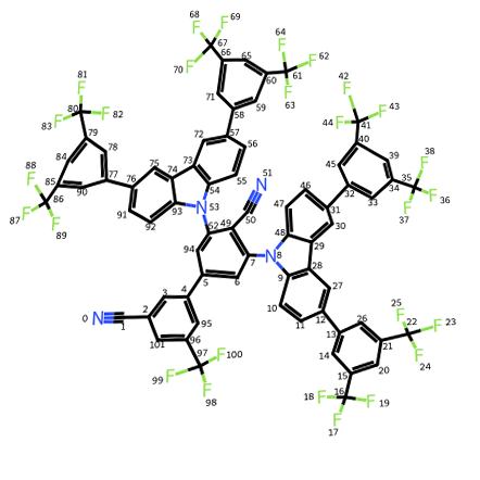 N#Cc1cc(-c2cc(-n3c4ccc(-c5cc(C(F)(F)F)cc(C(F)(F)F)c5)cc4c4cc(-c5cc(C(F)(F)F)cc(C(F)(F)F)c5)ccc43)c(C#N)c(-n3c4ccc(-c5cc(C(F)(F)F)cc(C(F)(F)F)c5)cc4c4cc(-c5cc(C(F)(F)F)cc(C(F)(F)F)c5)ccc43)c2)cc(C(F)(F)F)c1